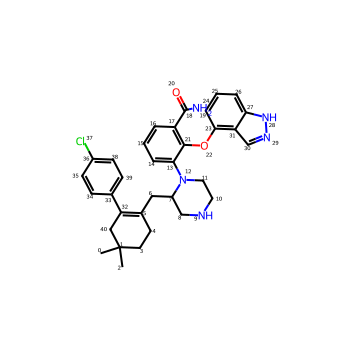 CC1(C)CCC(CC2CNCCN2c2cccc(C(N)=O)c2Oc2cccc3[nH]ncc23)=C(c2ccc(Cl)cc2)C1